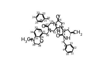 C=CCN(C(=O)NCc1ccccc1)N1CC(=O)N2[C@@H](Cc3ccccc3)C(=O)N(Cc3cccc4c3OCCN4C)C[C@@H]21